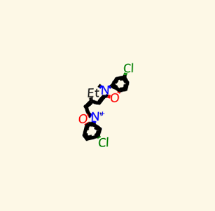 CCC(=Cc1oc2ccc(Cl)cc2[n+]1C)C=C1Oc2ccc(Cl)cc2N1C